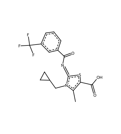 Cc1c(C(=O)O)s/c(=N\C(=O)c2cccc(C(F)(F)F)c2)n1CC1CC1